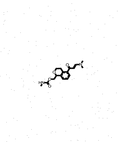 CNC(=O)OCC1OCCc2c(C(=O)C=CN(C)C)cccc21